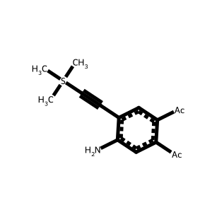 CC(=O)c1cc(N)c(C#CS(C)(C)C)cc1C(C)=O